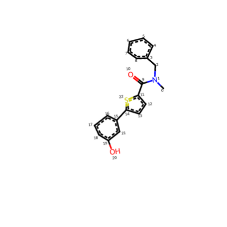 CN(Cc1ccccc1)C(=O)c1ccc(-c2cccc(O)c2)s1